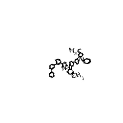 Cc1ccc2c(c1)c1cc(-c3ccc4c(c3)c3cc(C)ccc3n4-c3ccc(-c4cccc(-c5cccc(-c6ccccc6)c5)c4)cn3)ccc1n2-c1ccccc1